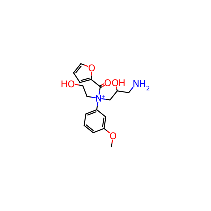 COc1cccc([N+](CCO)(CC(O)CN)C(=O)c2ccco2)c1